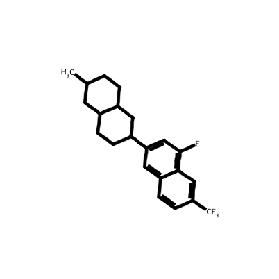 CC1CCC2CC(c3cc(F)c4cc(C(F)(F)F)ccc4c3)CCC2C1